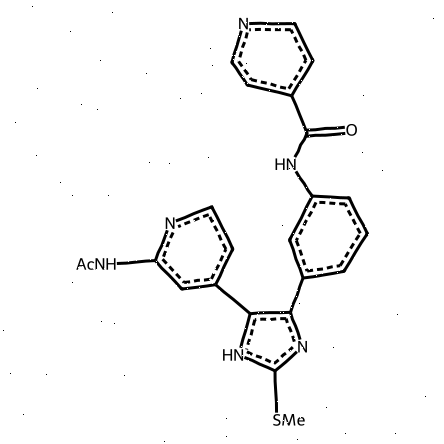 CSc1nc(-c2cccc(NC(=O)c3ccncc3)c2)c(-c2ccnc(NC(C)=O)c2)[nH]1